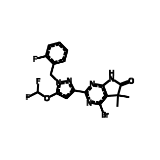 CC1(C)C(=O)Nc2nc(-c3cc(OC(F)F)n(Cc4ccccc4F)n3)nc(Br)c21